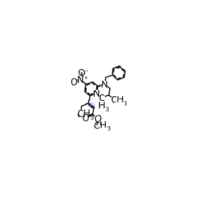 CC/C(=C\C(=O)OC)c1cc([N+](=O)[O-])cc(N(Cc2ccccc2)CC(C)C)n1